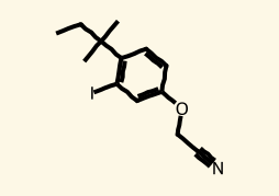 CCC(C)(C)c1ccc(OCC#N)cc1I